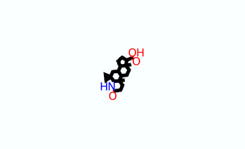 CC12CCC3C(CC4(CC4)C4NC(=O)CCC34C)C1CCC2C(=O)O